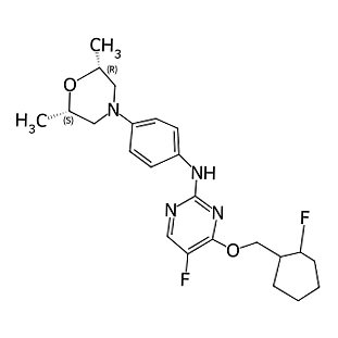 C[C@@H]1CN(c2ccc(Nc3ncc(F)c(OCC4CCCCC4F)n3)cc2)C[C@H](C)O1